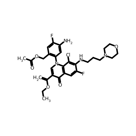 C=C(OCC)c1cn(-c2cc(N)c(F)cc2COC(C)=O)c2c(Cl)c(NCCCN3CCOCC3)c(F)cc2c1=O